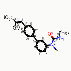 CCCCCCNC(=O)N(C)c1cccc(-c2ccc(/C=C(\OC)C(=O)O)cc2)c1